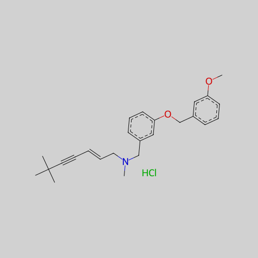 COc1cccc(COc2cccc(CN(C)C/C=C/C#CC(C)(C)C)c2)c1.Cl